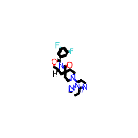 C=NN1C(N2CCC3(CC2)C[C@@H]2CO[C@@H](c4cc(F)cc(F)c4)N2C3=O)=CC=N/C1=C/C